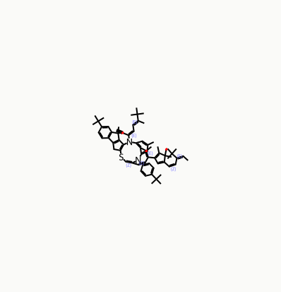 C#C/C(=C\C=C(/C)C(C)(C)C)N1C2=C(CC3=C2C(C)(C)c2cc(C(C)(C)C)ccc23)S/C=C2/C=C\C(C3=C(C)C(C)(C)C(/C=C\C(=C/C)C(C)(C)C)=C3)=C(\C)c3c1cc(C)cc3N2c1ccc(C(C)(C)C)cc1